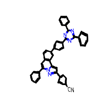 N#Cc1ccc(-c2cc3c4cc(-c5ccc(-c6nc(-c7ccccc7)nc(-c7ccccc7)n6)cc5)ccc4cc(-c4ccccc4)n3n2)cc1